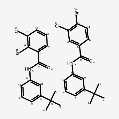 CC(C)(C)c1cccc(NC(=O)c2ccc(Br)c(Cl)c2)c1.CC(C)(C)c1cccc(NC(=O)c2cccc(Cl)c2Br)c1